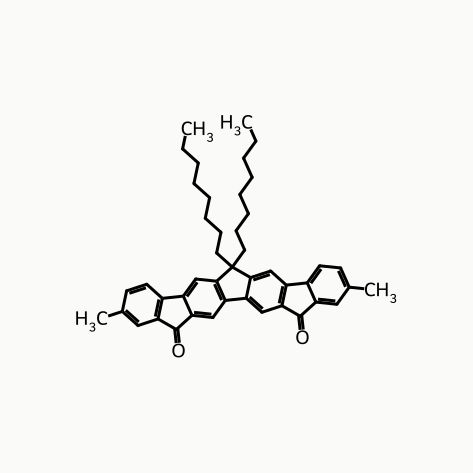 CCCCCCCCC1(CCCCCCCC)c2cc3c(cc2-c2cc4c(cc21)-c1ccc(C)cc1C4=O)C(=O)c1cc(C)ccc1-3